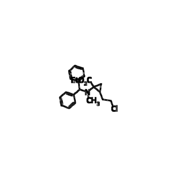 CCOC(=O)C1(N(C)C(c2ccccc2)c2ccccc2)CC1CCCl